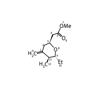 C=C1C[C@@H](CC(=O)OC)O[C@H](CC)[C@H]1C